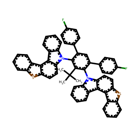 CC(C)(C)c1c(-n2c3ccccc3c3c4c(ccc32)sc2ccccc24)c(-c2ccc(F)cc2)cc(-c2ccc(F)cc2)c1-n1c2ccccc2c2c3c(ccc21)sc1ccccc13